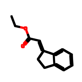 CCOC(=O)/C=C1\CCc2ccccc21